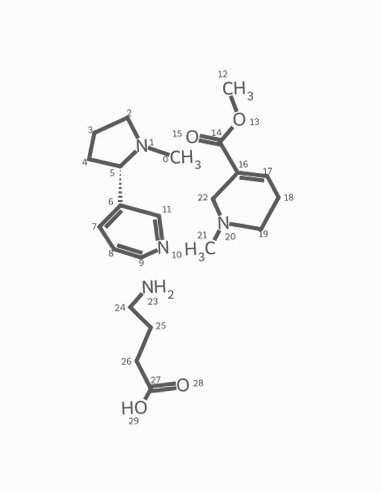 CN1CCC[C@H]1c1cccnc1.COC(=O)C1=CCCN(C)C1.NCCCC(=O)O